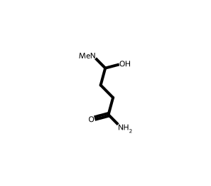 CNC(O)CCC(N)=O